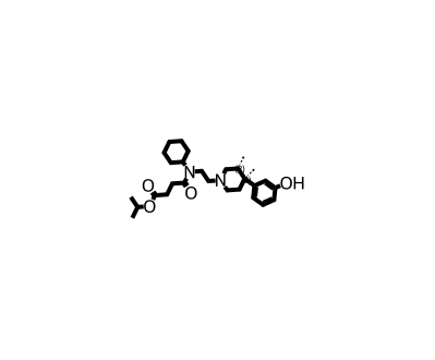 CC(C)OC(=O)CCC(=O)N(CCN1CC[C@](C)(c2cccc(O)c2)[C@@H](C)C1)C1CCCCC1